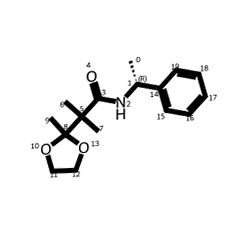 C[C@@H](NC(=O)C(C)(C)C1(C)OCCO1)c1ccccc1